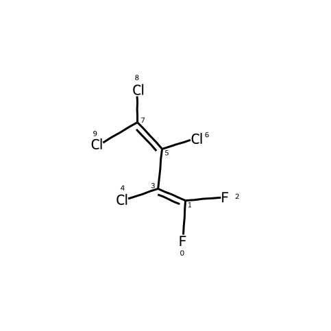 FC(F)=C(Cl)C(Cl)=C(Cl)Cl